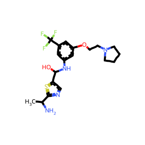 CC(N)c1ncc(C(O)Nc2cc(OCCN3CCCC3)cc(C(F)(F)F)c2)s1